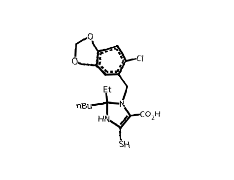 CCCCC1(CC)NC(S)=C(C(=O)O)N1Cc1cc2c(cc1Cl)OCO2